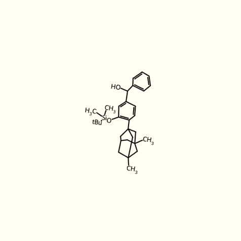 CC12CC3CC(C)(C1)CC(c1ccc(C(O)c4ccccc4)cc1O[Si](C)(C)C(C)(C)C)(C3)C2